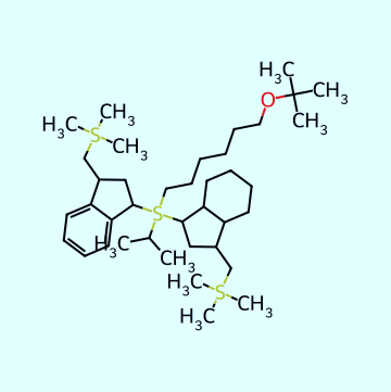 CC(C)S(CCCCCCOC(C)(C)C)(C1CC(CS(C)(C)C)c2ccccc21)C1CC(CS(C)(C)C)C2CCCCC21